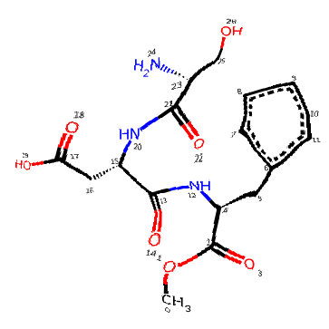 COC(=O)[C@H](Cc1ccccc1)NC(=O)[C@H](CC(=O)O)NC(=O)[C@H](N)CO